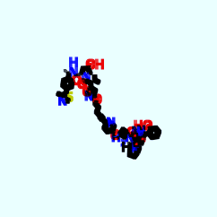 Cc1ncsc1-c1ccc([C@H](C)NC(=O)[C@@H]2C[C@@H](O)CN2C(=O)[C@@H](c2cc(OCCCC#Cc3ccc(OC4CC(Oc5cc(N6C7CC[C@@H]6CN(c6cc(-c8ccccc8O)nnc6N)C7)ccn5)C4)cn3)no2)C(C)C)cc1